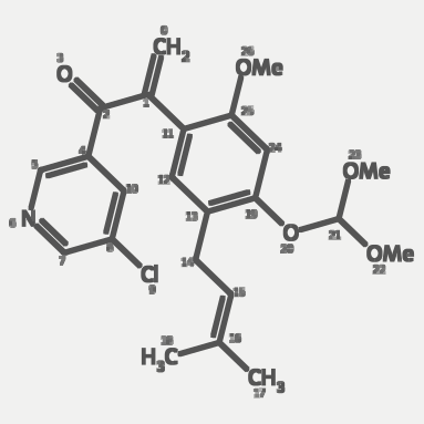 C=C(C(=O)c1cncc(Cl)c1)c1cc(CC=C(C)C)c(OC(OC)OC)cc1OC